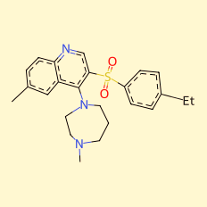 CCc1ccc(S(=O)(=O)c2cnc3ccc(C)cc3c2N2CCCN(C)CC2)cc1